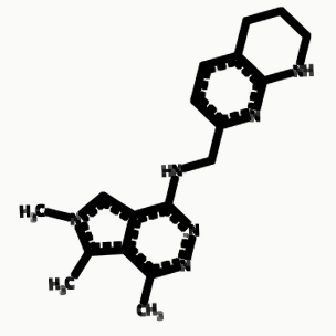 Cc1nnc(NCc2ccc3c(n2)NCCC3)c2cn(C)c(C)c12